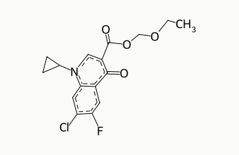 CCOCOC(=O)c1cn(C2CC2)c2cc(Cl)c(F)cc2c1=O